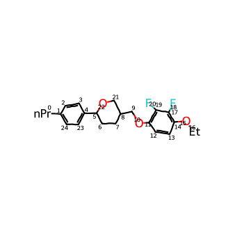 CCCc1ccc(C2CCC(COc3ccc(OCC)c(F)c3F)CO2)cc1